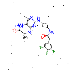 Cc1nc(N[C@H]2C[C@H](NC(=O)Cc3cc(F)c(F)c(F)c3)C2)nc2c1NC(=O)C(C(C)C)N2C